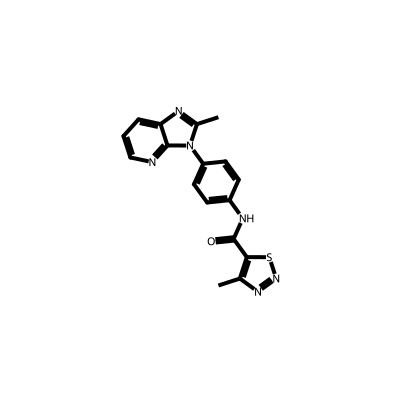 Cc1nnsc1C(=O)Nc1ccc(-n2c(C)nc3cccnc32)cc1